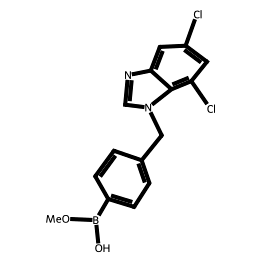 COB(O)c1ccc(Cn2cnc3cc(Cl)cc(Cl)c32)cc1